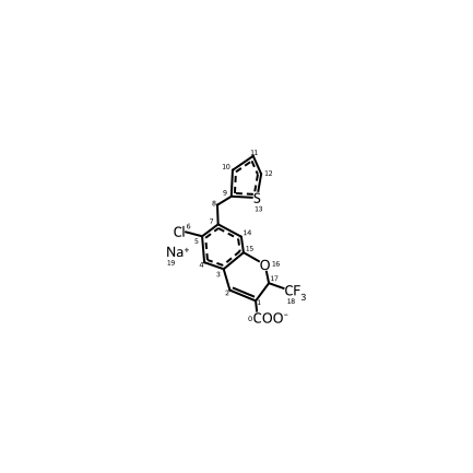 O=C([O-])C1=Cc2cc(Cl)c(Cc3cccs3)cc2OC1C(F)(F)F.[Na+]